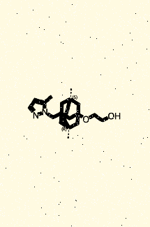 Cc1ccnn1CC12CC3(OCCO)C[C@](C)(C1)C[C@](C)(C2)C3